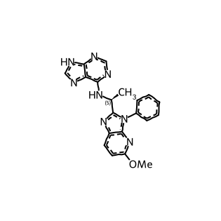 COc1ccc2nc([C@H](C)Nc3ncnc4[nH]cnc34)n(-c3ccccc3)c2n1